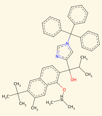 Cc1cc2c(O[SiH](C)C)c(C(O)(c3cn(C(c4ccccc4)(c4ccccc4)c4ccccc4)cn3)C(C)C)ccc2cc1C(C)(C)C